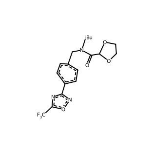 CCC(C)N(Cc1ccc(-c2noc(C(F)(F)F)n2)cc1)C(=O)C1OCCO1